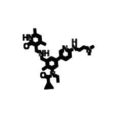 CCN(C(=O)C1CC1)c1cc(-c2ccc(NCCN(C)C)nc2)cc(CNCc2c(C)cc(C)[nH]c2=O)c1C